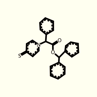 O=C(OC(c1ccccc1)c1ccccc1)C(c1ccccc1)n1ccc(=S)cc1